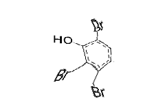 Oc1c(Br)c[c]c(Br)c1Br